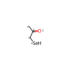 CC(=O)C[SeH]